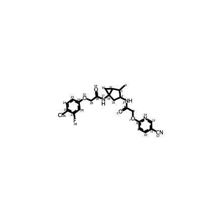 CC1C(NC(=O)COc2ccc(C#N)cn2)CC2(NC(=O)COc3ccc(Cl)c(F)c3)CC12